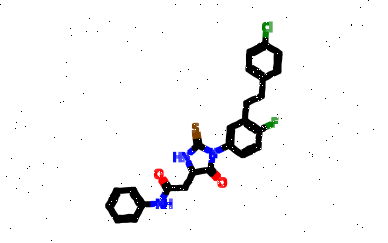 O=C(CC1NC(=S)N(c2ccc(F)c(CCc3ccc(Cl)cc3)c2)C1=O)Nc1ccccc1